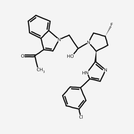 CC(=O)c1cn(CC(O)N2C[C@H](F)C[C@H]2c2ncc(-c3cccc(Cl)c3)[nH]2)c2ccccc12